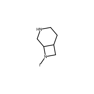 IN1CC2CCNCC21